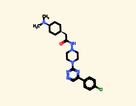 CN(C)[C@H]1CC[C@H](CC(=O)NN2CCN(c3nncc(-c4ccc(Cl)cc4)n3)CC2)CC1